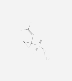 CC(C)(C)NS(=O)(=O)C1(C=C(F)F)CC1